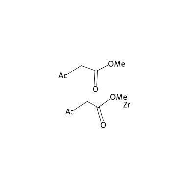 COC(=O)CC(C)=O.COC(=O)CC(C)=O.[Zr]